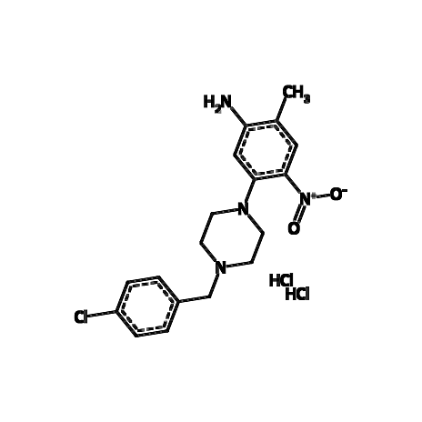 Cc1cc([N+](=O)[O-])c(N2CCN(Cc3ccc(Cl)cc3)CC2)cc1N.Cl.Cl